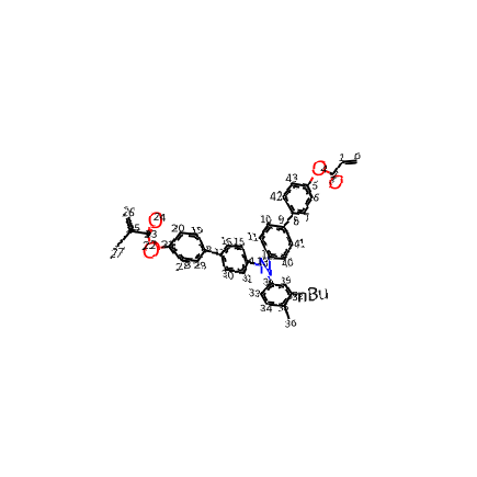 C=CC(=O)Oc1ccc(-c2ccc(N(c3ccc(-c4ccc(OC(=O)C(=C)C)cc4)cc3)c3ccc(C)c(CCCC)c3)cc2)cc1